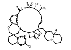 CO[C@@]1(CN2CCN3CCOC[C@H]3C2)/C=C/C[C@H](C)[C@@H](C)S(=O)(=O)NC(=O)c2ccc3c(c2)N(C[C@@H]2CC[C@H]21)C[C@@]1(CCCc2cc(Cl)ccc21)CO3